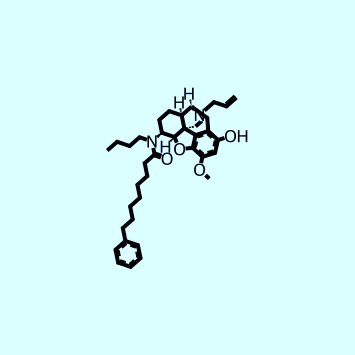 C=CCN1CC[C@]23c4c5c(O)cc(OC)c4O[C@H]2[C@@H](N(CCCC)C(=O)CCCCCCCc2ccccc2)CC[C@H]3[C@H]1C5